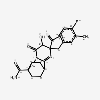 Cc1cc(CC2(C(N)=O)N=C3C4CCC(C(N)=O)(CC4)CN3C(=O)C2O)ccc1F